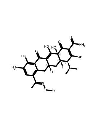 CCON=C(C)c1cc(N)c(O)c2c1C[C@H]1C[C@H]3[C@H](N(C)C)C(O)=C(C(N)=O)C(=O)[C@@]3(O)C(O)=C1C2=O